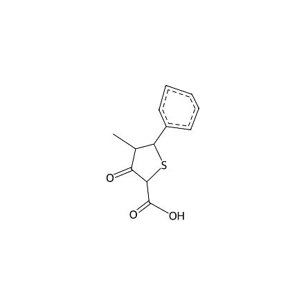 CC1C(=O)C(C(=O)O)SC1c1ccccc1